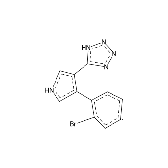 Brc1c[c]ccc1-c1c[nH]cc1-c1nnn[nH]1